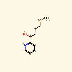 CSCCCC(O)c1ccccn1